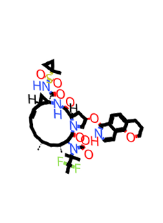 C[C@@H]1CCC=C[C@@H]2C[C@@]2(C(=O)NS(=O)(=O)C2(C)CC2)NC(=O)[C@@H]2C[C@@H](Oc3nccc4c5c(ccc34)CCCO5)CN2C(=O)[C@@H](N(C(=O)O)C(C)(C)C(C)(F)F)[C@H](C)C1